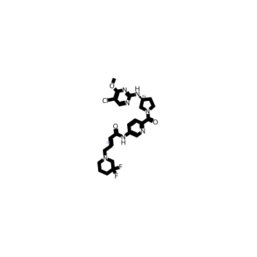 COc1nc(N[C@H]2CCN(C(=O)c3ccc(NC(=O)/C=C/CN4CCCC(F)(F)C4)cn3)C2)ncc1Cl